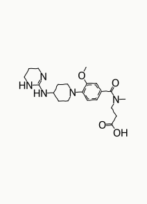 COc1cc(C(=O)N(C)CCC(=O)O)ccc1N1CCC(NC2=NCCCN2)CC1